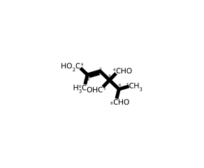 CC(=CC(C=O)(C=O)C(C)C=O)C(=O)O